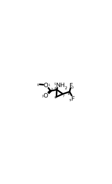 COC(=O)C1(N)CC1C(F)F